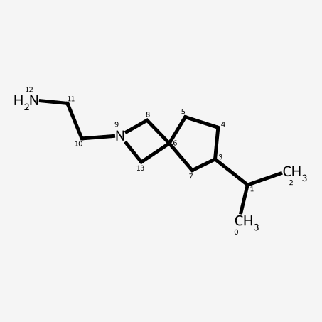 CC(C)C1CCC2(C1)CN(CCN)C2